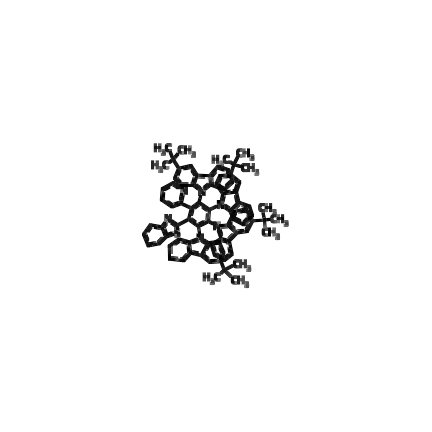 CC(C)(C)c1ccc2c(c1)c1ccccc1n2-c1c(-c2ccccn2)c(-c2nc3ccccc3s2)c(-n2c3ccccc3c3cc(C(C)(C)C)ccc32)c(-n2c3ccccc3c3cc(C(C)(C)C)ccc32)c1-n1c2ccccc2c2cc(C(C)(C)C)ccc21